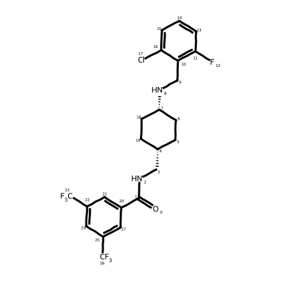 O=C(NC[C@H]1CC[C@@H](NCc2c(F)cccc2Cl)CC1)c1cc(C(F)(F)F)cc(C(F)(F)F)c1